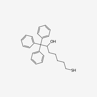 OC(CCCCCS)C(c1ccccc1)(c1ccccc1)c1ccccc1